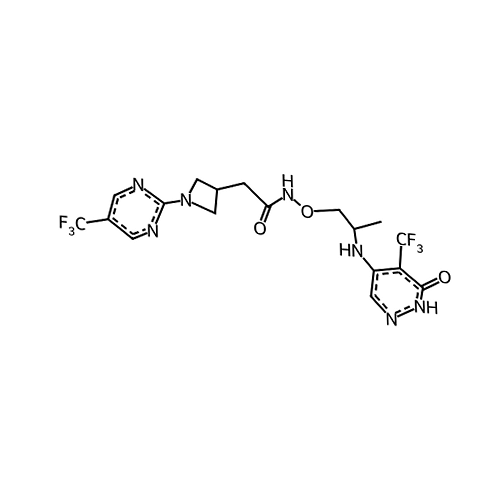 CC(CONC(=O)CC1CN(c2ncc(C(F)(F)F)cn2)C1)Nc1cn[nH]c(=O)c1C(F)(F)F